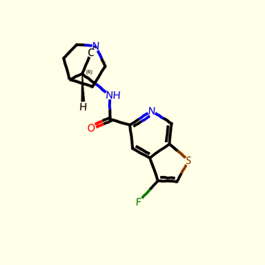 O=C(N[C@H]1CN2CCC1CC2)c1cc2c(F)csc2cn1